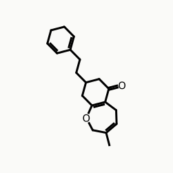 CC1=CCC2=C(CC(CCC3=CCCC=C3)CC2=O)OC1